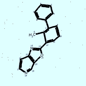 Cc1c(-c2ccccc2)cccc1-c1nc2ccncc2o1